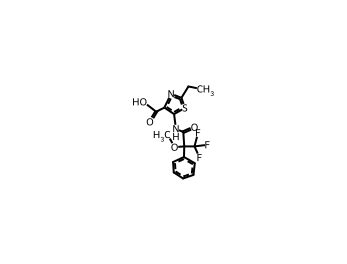 CCc1nc(C(=O)O)c(NC(=O)C(OC)(c2ccccc2)C(F)(F)F)s1